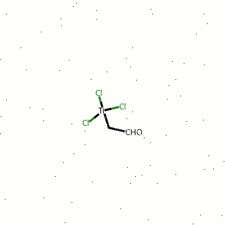 O=C[CH2][Ti]([Cl])([Cl])[Cl]